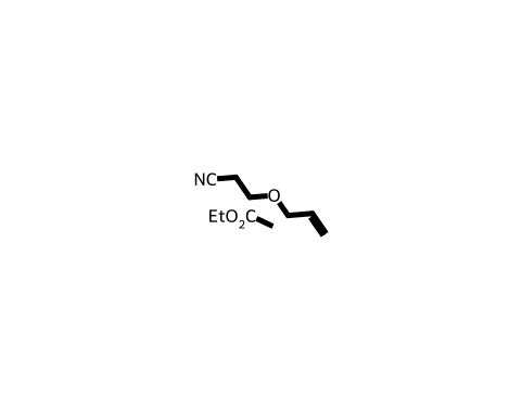 C=CCOCCC#N.CCOC(C)=O